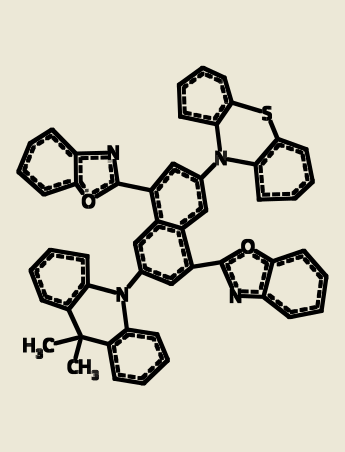 CC1(C)c2ccccc2N(c2cc(-c3nc4ccccc4o3)c3cc(N4c5ccccc5Sc5ccccc54)cc(-c4nc5ccccc5o4)c3c2)c2ccccc21